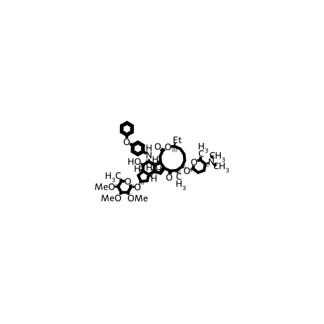 CC[C@H]1CCC[C@H](O[C@H]2CC[C@H](N(C)C)C(C)O2)[C@@H](C)C(=O)C2=C[C@H]3[C@@H]4C[C@H](O[C@@H]5OC(C)[C@H](OC)C(OC)C5OC)C[C@H]4[C@@H](O)[C@H](Nc4ccc(Oc5ccccc5)cc4)[C@H]3[C@@H]2CC(=O)O1